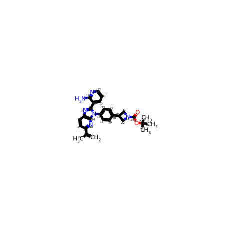 C=C(C)c1ccc2nc(-c3cccnc3N)n(-c3ccc(C4CN(C(=O)OC(C)(C)C)C4)cc3)c2n1